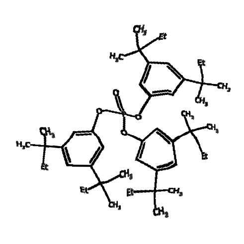 CCC(C)(C)c1cc(OP(=O)(Oc2cc(C(C)(C)CC)cc(C(C)(C)CC)c2)Oc2cc(C(C)(C)CC)cc(C(C)(C)CC)c2)cc(C(C)(C)CC)c1